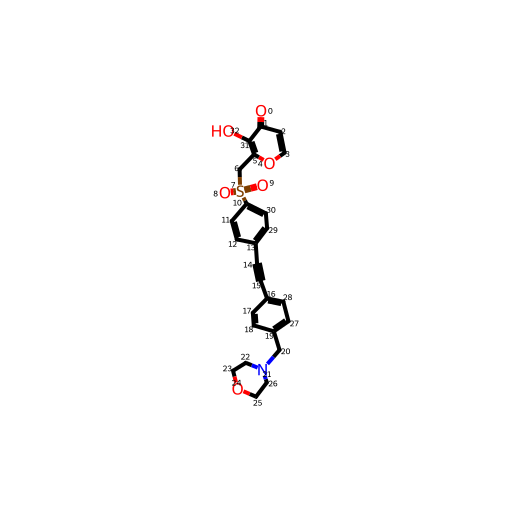 O=c1ccoc(CS(=O)(=O)c2ccc(C#Cc3ccc(CN4CCOCC4)cc3)cc2)c1O